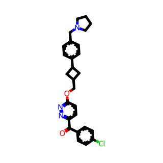 O=C(c1ccc(Cl)cc1)c1ccc(OCC2CC(c3ccc(CN4CCCC4)cc3)C2)nn1